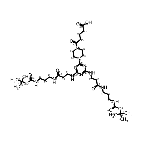 CC(C)(C)OC(=O)NCCCNC(=O)CCNc1nc(NCCC(=O)NCCCNC(=O)OC(C)(C)C)nc(N2CCN(C(=O)CCCC(=O)O)CC2)n1